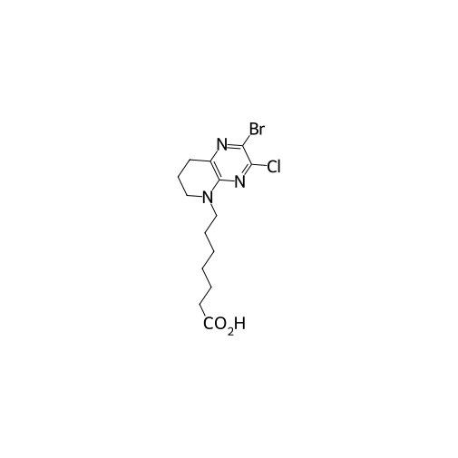 O=C(O)CCCCCCN1CCCc2nc(Br)c(Cl)nc21